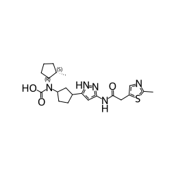 Cc1ncc(CC(=O)Nc2cc(C3CCC(N(C(=O)O)[C@@H]4CCC[C@@H]4C)C3)[nH]n2)s1